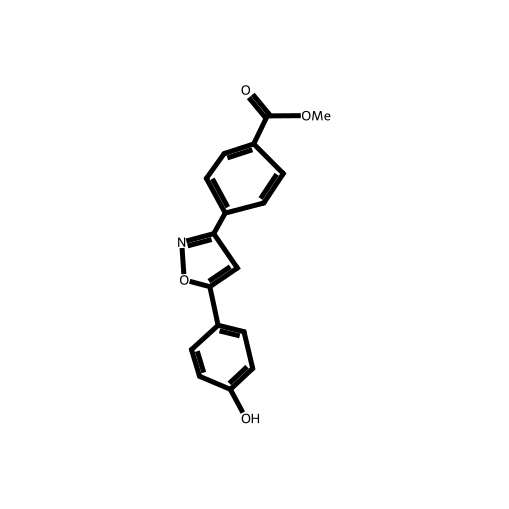 COC(=O)c1ccc(-c2cc(-c3ccc(O)cc3)on2)cc1